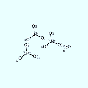 [O-][I+2]([O-])[O-].[O-][I+2]([O-])[O-].[O-][I+2]([O-])[O-].[Sc+3]